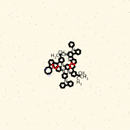 CC(C)(C)c1ccc(N2c3cc(-n4c5c(c6ccccc64)/C=C\C/C=C\C5)ccc3B3c4ccc(-n5c6ccccc6c6ccccc65)cc4N(c4ccc(C(C)(C)C)cc4-c4ccccc4)c4cc(-c5cccc6c5sc5ccc7c(c8ccccc8n7-c7ccccc7)c56)cc2c43)c(-c2ccccc2)c1